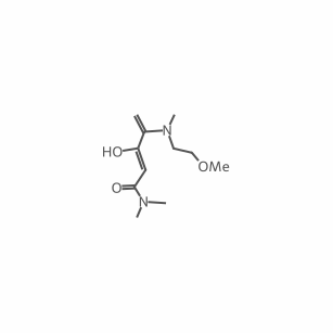 C=C(/C(O)=C/C(=O)N(C)C)N(C)CCOC